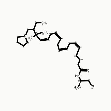 CCC(CN1CCCC1)C(C)(C)/C=C\C/C=C\C/C=C\C/C=C\CCCC(=O)N[C@H](C)CO